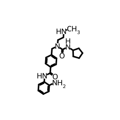 CNCCN(Cc1ccc(C(=O)Nc2ccccc2N)cc1)C(=O)NC1CCCC1